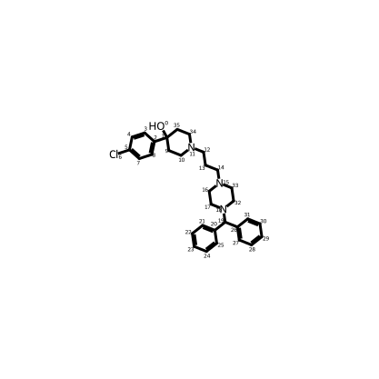 OC1(c2ccc(Cl)cc2)CCN(CCCN2CCN(C(c3ccccc3)c3ccccc3)CC2)CC1